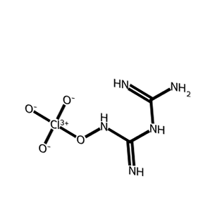 N=C(N)NC(=N)NO[Cl+3]([O-])([O-])[O-]